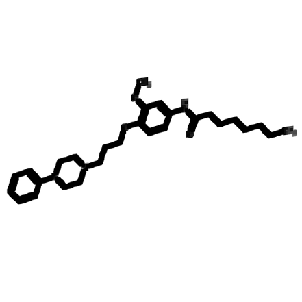 CCCCCCCC(=O)Nc1ccc(OCCCN2CCN(c3ccccc3)CC2)c(OC)c1